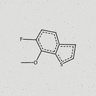 COc1c(F)ccc2ccsc12